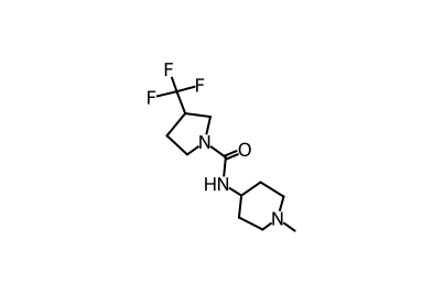 CN1CCC(NC(=O)N2CCC(C(F)(F)F)C2)CC1